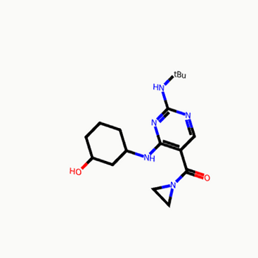 CC(C)(C)Nc1ncc(C(=O)N2CC2)c(NC2CCCC(O)C2)n1